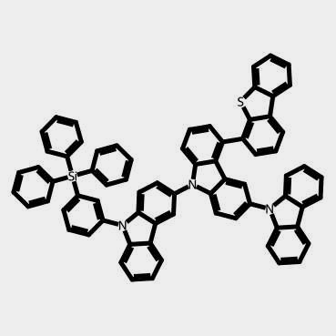 c1ccc([Si](c2ccccc2)(c2ccccc2)c2cccc(-n3c4ccccc4c4cc(-n5c6ccc(-n7c8ccccc8c8ccccc87)cc6c6c(-c7cccc8c7sc7ccccc78)cccc65)ccc43)c2)cc1